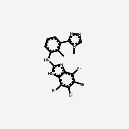 Cc1c(Nc2nc3c(Br)c(Br)c(Br)c(Br)c3[nH]2)cccc1-c1nncn1C